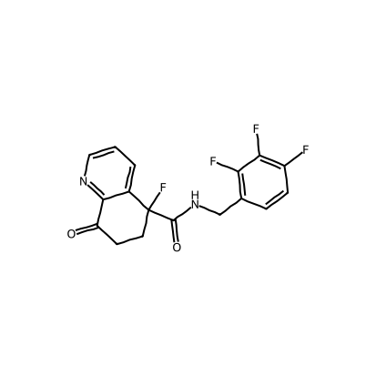 O=C1CCC(F)(C(=O)NCc2ccc(F)c(F)c2F)c2cccnc21